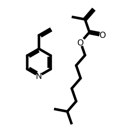 C=C(C)C(=O)OCCCCCC(C)C.C=Cc1ccncc1